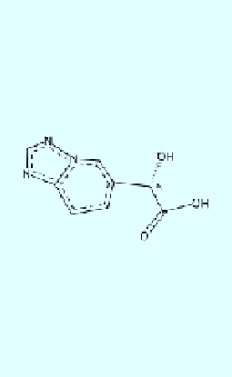 O=C(O)[C@@H](O)c1ccc2ncnn2c1